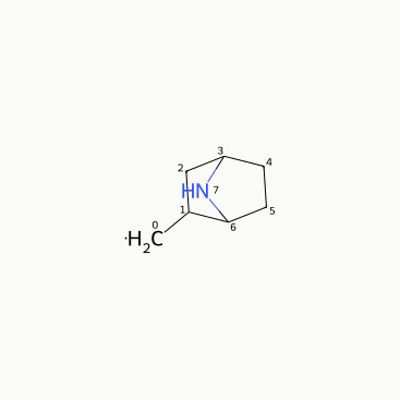 [CH2]C1CC2CCC1N2